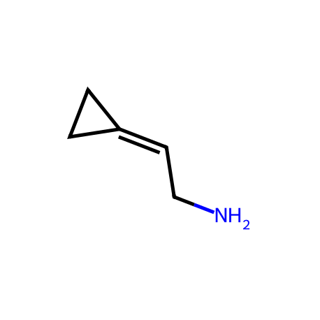 NCC=C1CC1